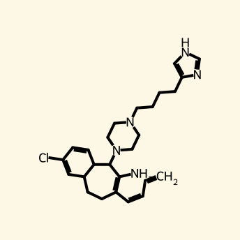 C=C/C=C\C1=C(N)C(N2CCN(CCCCc3c[nH]cn3)CC2)C2C=CC(Cl)=CC2CC1